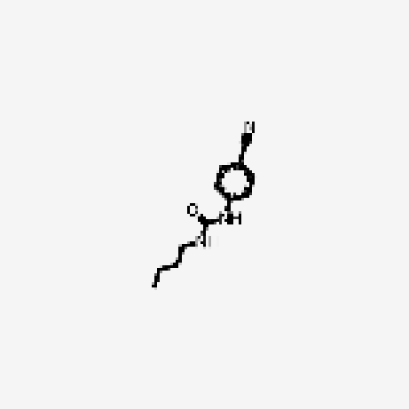 CCCCNC(=O)Nc1ccc(C#N)cc1